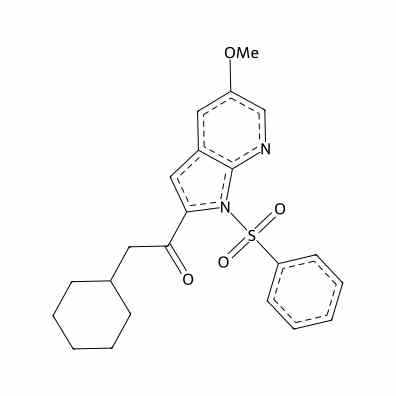 COc1cnc2c(c1)cc(C(=O)CC1CCCCC1)n2S(=O)(=O)c1ccccc1